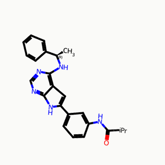 CC(C)C(=O)Nc1cccc(-c2cc3c(N[C@H](C)c4ccccc4)ncnc3[nH]2)c1